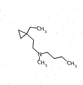 CCCCN(C)CCC1(CC)CC1